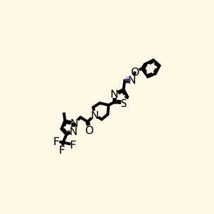 Cc1cc(C(F)(F)F)nn1CC(=O)N1CCC(c2nc(/C=N/Oc3ccccc3)cs2)CC1